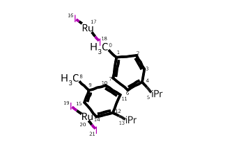 Cc1ccc(C(C)C)cc1.Cc1ccc(C(C)C)cc1.[I][Ru][I].[I][Ru][I]